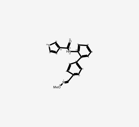 CO/N=C/c1ccc(-c2ccccc2NC(=O)c2ccsc2)cc1